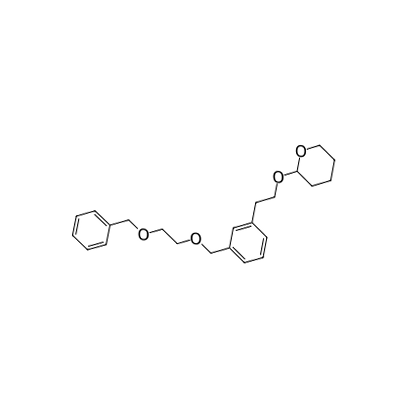 c1ccc(COCCOCc2cccc(CCOC3CCCCO3)c2)cc1